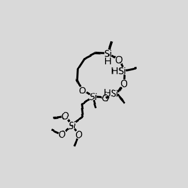 CO[Si](CC[Si]1(C)OCCCC[SiH](C)O[SiH](C)O[SiH](C)O1)(OC)OC